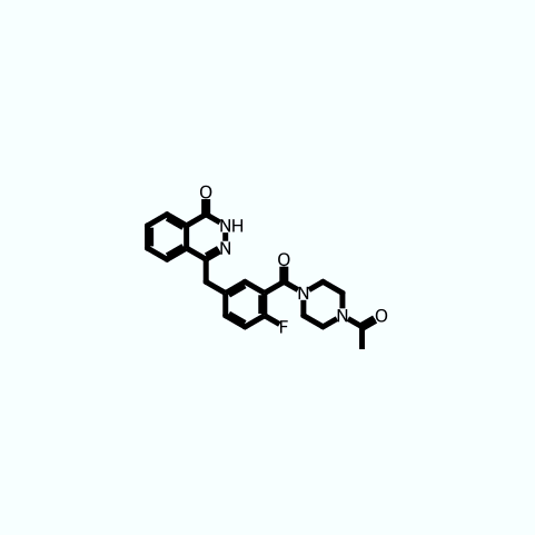 CC(=O)N1CCN(C(=O)c2cc(Cc3n[nH]c(=O)c4ccccc34)ccc2F)CC1